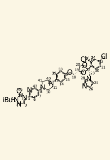 CCC(C)n1ncn(-c2ccc(N3CCN(c4ccc(OC[C@@H]5CO[C@@](Cn6ccnc6)(c6ccc(Cl)cc6Cl)O5)cc4)CC3)cn2)c1=O